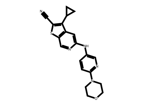 N#Cc1sc2cnc(Nc3ccc(N4CCOCC4)nc3)cc2c1C1CC1